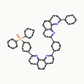 O=P(c1ccccc1)(c1ccccc1)c1ccc(-c2ccc3ccc4ccc(-c5cccc(-c6ccc7ccc8ccc(-c9ccccc9)nc8c7n6)c5)nc4c3n2)cc1